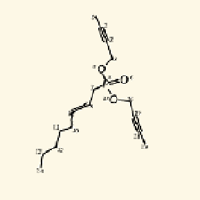 CC#CCOP(=O)(C/C=C/CCCCC)OCC#CC